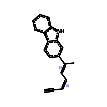 C#C/C=C\C=C(/C)c1ccc2c(c1)[nH]c1ccccc12